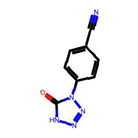 N#Cc1ccc(-n2nn[nH]c2=O)cc1